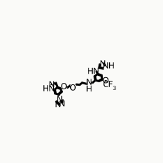 FC(F)(F)Oc1cc(CNCCCCOCCOc2cc(-n3cnnc3)cc3[nH]ncc23)cc(Nc2cn[nH]c2)c1